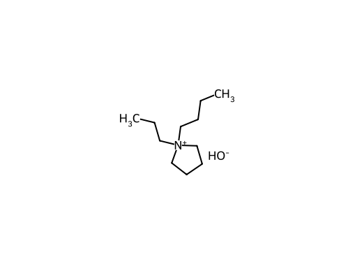 CCCC[N+]1(CCC)CCCC1.[OH-]